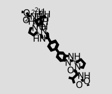 [2H]C([2H])([2H])C([2H])(C([2H])([2H])[2H])[C@@]([2H])(NC(=O)OC)C(=O)N1CCC[C@H]1c1ncc(-c2ccc(-c3ccc4nc([C@@H]5CCCN5C(=O)[C@@H](NC(=O)OC)C(C)C)[nH]c4c3)cc2)[nH]1